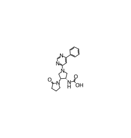 O=C(O)N[C@H]1CN(c2cc(-c3ccccc3)ncn2)C[C@@H]1N1CCCC1=O